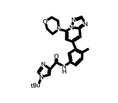 Cc1ccc(NC(=O)c2cn(C(C)(C)C)cn2)cc1-c1cc(N2CCOCC2)n2ncnc2c1